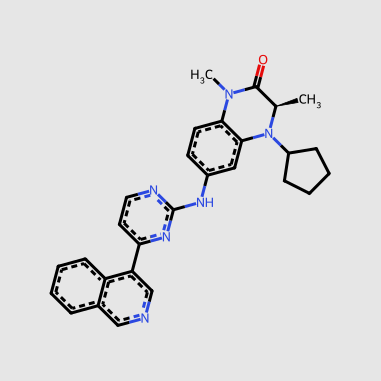 C[C@@H]1C(=O)N(C)c2ccc(Nc3nccc(-c4cncc5ccccc45)n3)cc2N1C1CCCC1